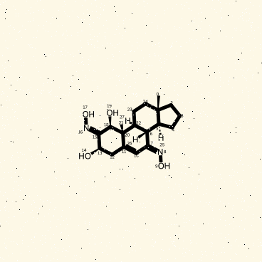 C[C@@]12CCC[C@H]1[C@@H]1C(=NO)C=C3C[C@@H](O)C(=NO)[C@@H](O)[C@]3(C)[C@H]1CC2